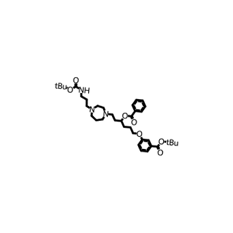 CC(C)(C)OC(=O)NCCCN1CCCN(CCC(CCCOc2cccc(C(=O)OC(C)(C)C)c2)OC(=O)c2ccccc2)CC1